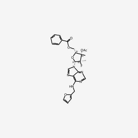 CC(=O)O[C@@]1(C)[C@@H](COC(=O)c2ccccc2)O[C@@H](n2cnc3c(NCc4ccco4)ncnc32)[C@]1(C)F